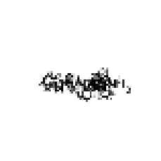 CN(C[C@H](O)CNC(=O)[C@H](CC1CCCCC1)NC(=O)c1cc2ccccc2s1)S(=O)(=O)c1ccccc1N